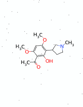 COc1cc(OC)c(C2[CH]N(C)CC2)c(O)c1C(C)=O